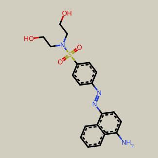 Nc1ccc(/N=N/c2ccc(S(=O)(=O)N(CCO)CCO)cc2)c2ccccc12